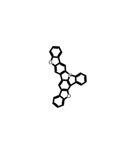 c1ccc2c(c1)oc1cc3c4cc5c6ccccc6oc5c5c6ccccc6n(c3cc12)c45